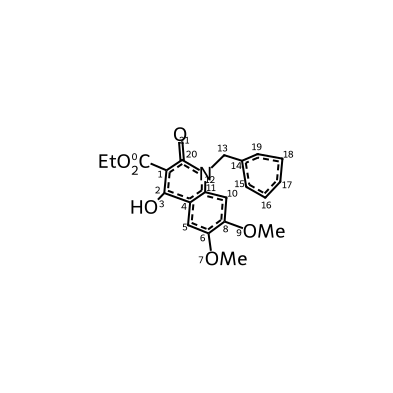 CCOC(=O)c1c(O)c2cc(OC)c(OC)cc2n(Cc2ccccc2)c1=O